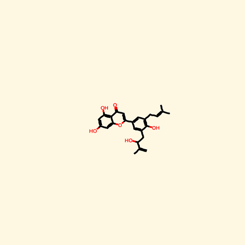 C=C(C)C(O)Cc1cc(-c2cc(=O)c3c(O)cc(O)cc3o2)cc(CC=C(C)C)c1O